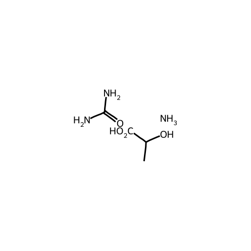 CC(O)C(=O)O.N.NC(N)=O